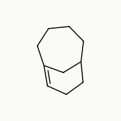 C1=C2CCCCC(CC1)C2